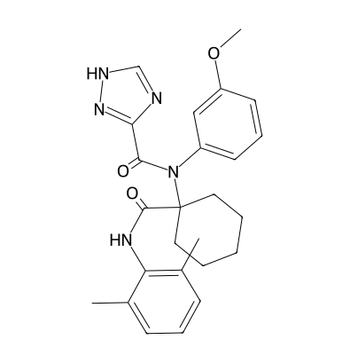 COc1cccc(N(C(=O)c2nc[nH]n2)C2(C(=O)Nc3c(C)cccc3C)CCCCC2)c1